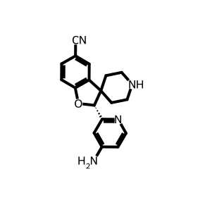 N#Cc1ccc2c(c1)C1(CCNCC1)[C@H](c1cc(N)ccn1)O2